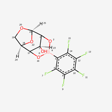 O[C@@H]1C2OB(c3c(F)c(F)c(F)c(F)c3F)OC1[C@H]1CO[C@@H]2O1